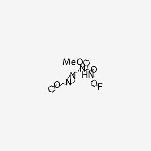 COc1cccc2c(C(=O)NCc3cccc(F)c3)cn(CCCN3CCCN(CCCOc4ccccc4)CC3)c12